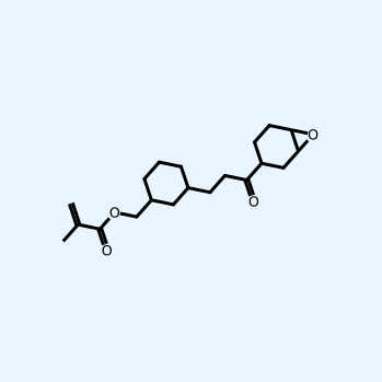 C=C(C)C(=O)OCC1CCCC(CCC(=O)C2CCC3OC3C2)C1